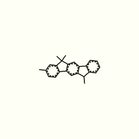 Cc1ccc2c(c1)C(C)(C)c1cc3c(cc1-2)C(C)c1ccccc1-3